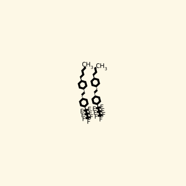 CCCCC[C@H]1CC[C@H](CC[C@H]2CC[C@H](C(F)(F)C(F)(F)C(F)(F)F)CC2)CC1.CCCC[C@H]1CC[C@H](CC[C@H]2CC[C@H](C(F)(F)C(F)(F)C(F)(F)F)CC2)CC1